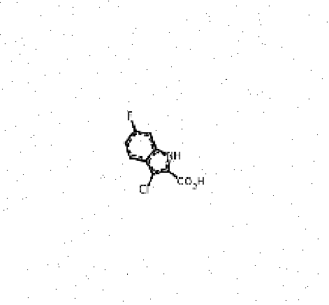 O=C(O)c1[nH]c2cc(F)ccc2c1Cl